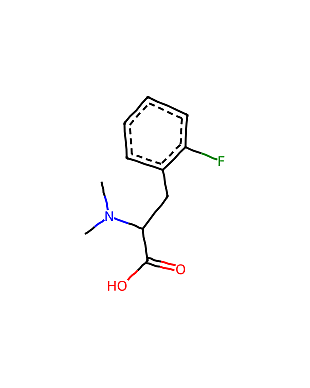 CN(C)C(Cc1ccccc1F)C(=O)O